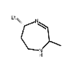 CC[C@H]1CCNC(C)C=N1